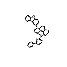 c1ccc(-c2cccc(-n3c4cccc5ccc6c(-c7ccc8oc9ccccc9c8c7)ccc3c6c54)n2)cc1